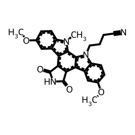 COc1ccc2c(c1)c1c3c(c4c5cc(OC)ccc5n(CCCC#N)c4c1n2C)C(=O)NC3=O